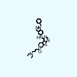 CCN(CC)CC=CC(=O)N1CCc2c(sc3ncnc(Nc4ccc5c(cnn5Cc5ccccc5)c4)c23)C1